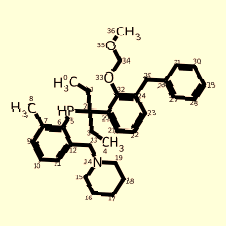 CCC(CC)(Pc1c(C)cccc1CN1CCCCC1)c1cccc(Cc2ccccc2)c1OCOC